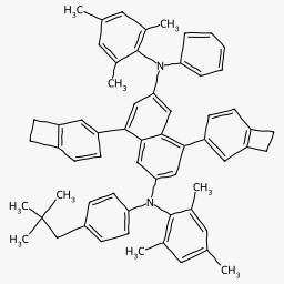 Cc1cc(C)c(N(c2ccccc2)c2cc(-c3ccc4c(c3)CC4)c3cc(N(c4ccc(CC(C)(C)C)cc4)c4c(C)cc(C)cc4C)cc(-c4ccc5c(c4)CC5)c3c2)c(C)c1